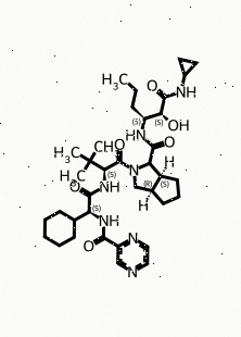 CCC[C@H](NC(=O)C1[C@H]2CCC[C@H]2CN1C(=O)[C@@H](NC(=O)[C@@H](NC(=O)c1cnccn1)C1CCCCC1)C(C)(C)C)[C@H](O)C(=O)NC1CC1